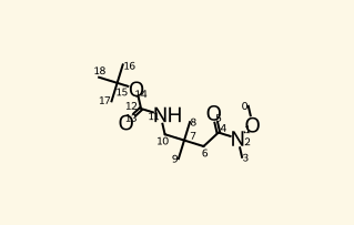 CON(C)C(=O)CC(C)(C)CNC(=O)OC(C)(C)C